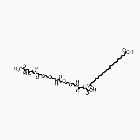 CC(=O)C(N)CCCCNC(=O)COCCOCCNC(=O)COCCOCCNC(=O)CC[C@H](NC(=O)CCCCCCCCCCCCCCCCCCC(=O)O)C(=O)O